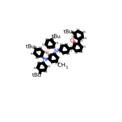 Cc1cc2c3c(c1)N(c1ccc(-c4cccc5c4oc4c(C(C)(C)C)cccc45)cc1)c1cc(C(C)(C)C)ccc1B3c1cc(C(C)(C)C)ccc1N2c1ccc(C(C)(C)C)cc1